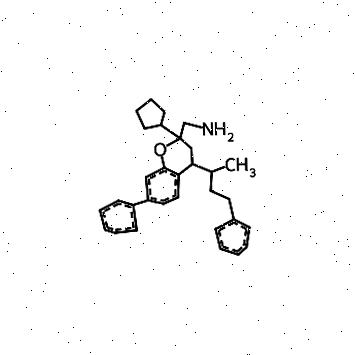 CC(CCc1ccccc1)C1CC(CN)(C2CCCC2)Oc2cc(-c3ccccc3)ccc21